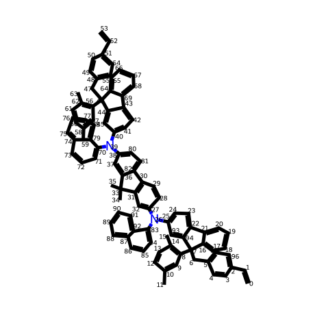 C=Cc1ccc(CC2(c3cc(C)ccc3C)c3ccccc3-c3ccc(N(c4ccc5c(c4)C(C)(C)c4cc(N(c6ccc7c(c6)C(Cc6ccc(C=C)cc6)(c6cc(C)ccc6C)c6ccccc6-7)c6cccc7ccccc67)ccc4-5)c4cccc5ccccc45)cc32)cc1